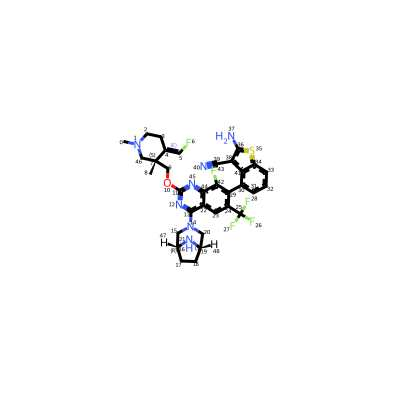 CN1CC/C(=C\F)[C@](C)(COc2nc(N3C[C@H]4CC[C@@H](C3)N4)c3cc(C(F)(F)F)c(-c4cccc5sc(N)c(C#N)c45)c(F)c3n2)C1